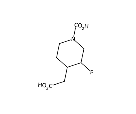 O=C(O)CC1CCN(C(=O)O)CC1F